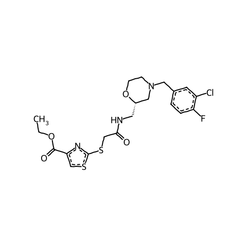 CCOC(=O)c1csc(SCC(=O)NC[C@H]2CN(Cc3ccc(F)c(Cl)c3)CCO2)n1